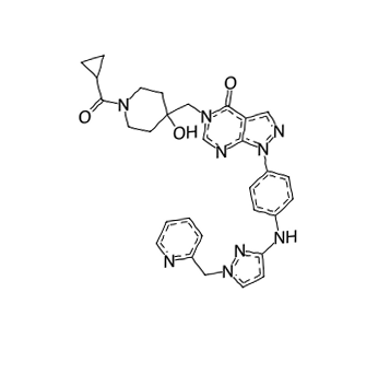 O=C(C1CC1)N1CCC(O)(Cn2cnc3c(cnn3-c3ccc(Nc4ccn(Cc5ccccn5)n4)cc3)c2=O)CC1